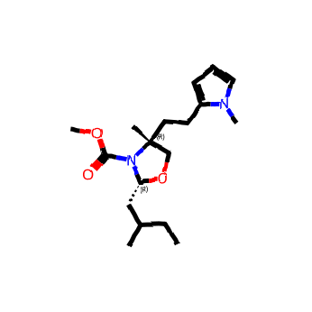 CCC(C)C[C@H]1OC[C@@](C)(CCc2cccn2C)N1C(=O)OC